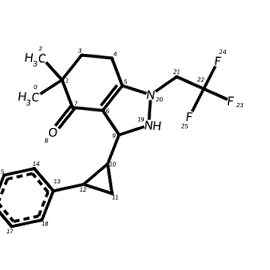 CC1(C)CCC2=C(C1=O)C(C1CC1c1ccccc1)NN2CC(F)(F)F